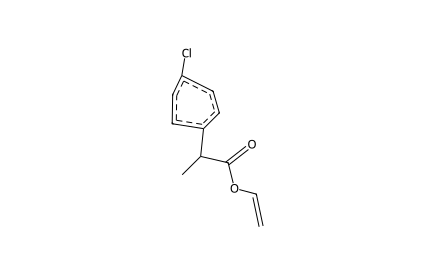 C=COC(=O)C(C)c1ccc(Cl)cc1